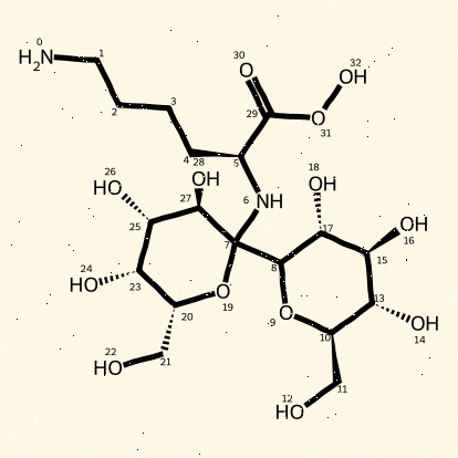 NCCCC[C@H](NC1(C2O[C@H](CO)[C@@H](O)[C@H](O)[C@H]2O)O[C@H](CO)[C@H](O)[C@H](O)[C@H]1O)C(=O)OO